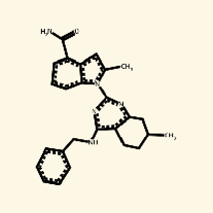 Cc1cc2c(C(N)=O)cccc2n1-c1nc2c(c(NCc3ccccc3)n1)CCC(C)C2